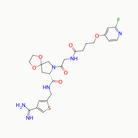 N=C(N)c1csc(CNC(=O)[C@@H]2CC3(CN2C(=O)CNC(=O)CCCOc2ccnc(F)c2)OCCO3)c1